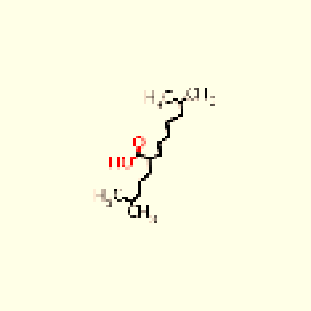 CC(C)CCCCCC(CCCC(C)C)C(=O)O